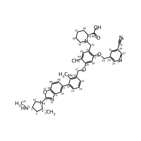 CN[C@H]1C[C@@H](C)N(c2nc3cc(-c4cccc(COc5cc(OCc6cncc(C#N)c6)c(CN6CCCC[C@H]6C(=O)O)cc5Cl)c4C)ccc3o2)C1